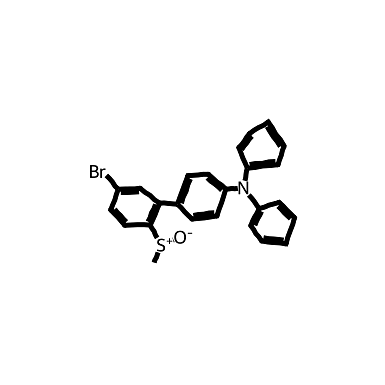 C[S+]([O-])c1ccc(Br)cc1-c1ccc(N(c2ccccc2)c2ccccc2)cc1